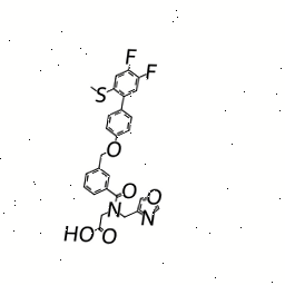 CSc1cc(F)c(F)cc1-c1ccc(OCc2cccc(C(=O)N(CC(=O)O)Cc3cocn3)c2)cc1